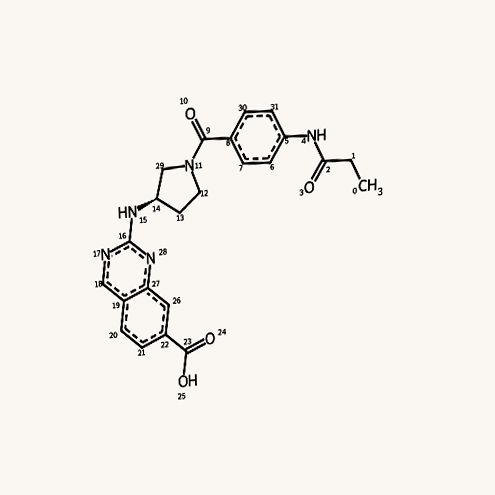 CCC(=O)Nc1ccc(C(=O)N2CC[C@@H](Nc3ncc4ccc(C(=O)O)cc4n3)C2)cc1